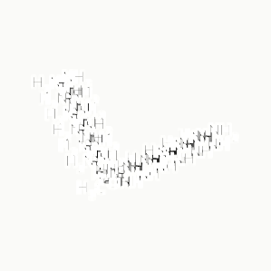 CC(=O)O.N=C(N)N.N=C(N)N.N=C(N)N.N=C(N)N.N=C(N)N.N=C(N)N.N=C(N)N.N=C(N)N.N=C(N)N.N=C(N)N.N=C(N)N.N=C(N)N